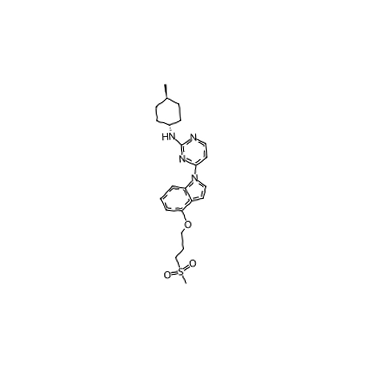 CS(=O)(=O)CCCOc1cccc2c1ccn2-c1ccnc(N[C@H]2CC[C@H](C)CC2)n1